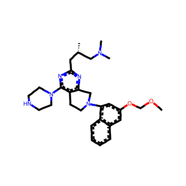 COCOc1cc(N2CCc3c(nc(C[C@H](C)CN(C)C)nc3N3CCNCC3)C2)c2ccccc2c1